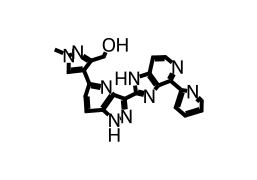 Cn1cc(-c2ccc3[nH]nc(-c4nc5c(-c6ccccn6)nccc5[nH]4)c3n2)c(CO)n1